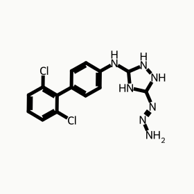 NN=NC1NNC(Nc2ccc(-c3c(Cl)cccc3Cl)cc2)N1